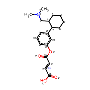 CN(C)CC1CCCCC1c1cccc(OC(=O)/C=C/C(=O)O)c1